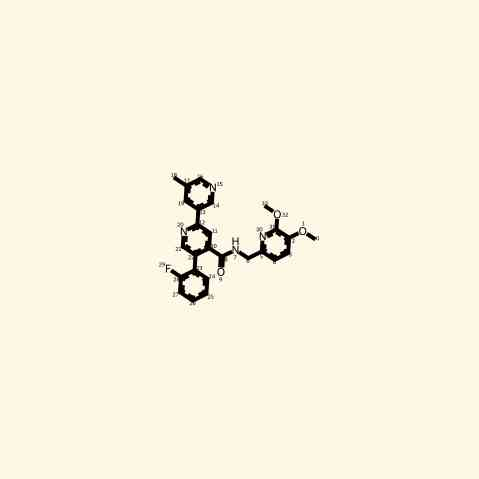 COc1ccc(CNC(=O)c2cc(-c3cncc(C)c3)ncc2-c2ccccc2F)nc1OC